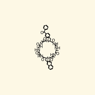 CC1NC(=O)C(C)(C)NC(=O)C(Cc2ccc3ccccc3c2)NC(=O)C(C)(C)NC(=O)C(C)NC(C)(C)NC(=O)C(Cc2ccc(C(=O)c3ccccc3)cc2)NC(=O)C(C)(C)NC1=O